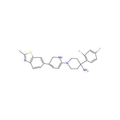 Cc1nc2ccc(C3=CC=C(N4CCC(N)(c5ccc(F)cc5F)CC4)NC3)cc2s1